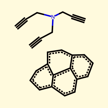 C#CCN(CC#C)CC#C.c1cc2ccc3cccc4ccc(c1)c2c34